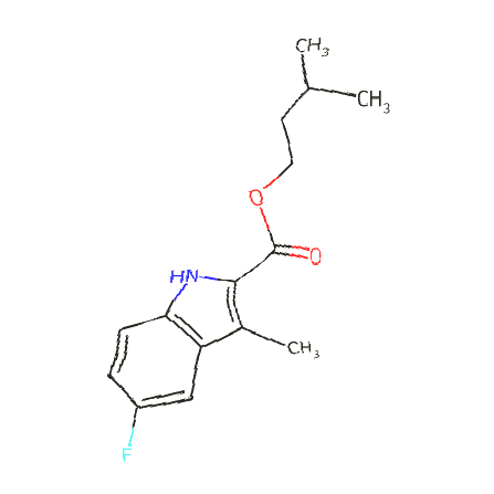 Cc1c(C(=O)OCCC(C)C)[nH]c2ccc(F)cc12